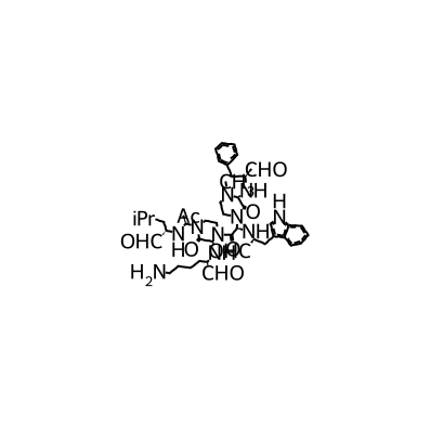 CC(=O)[C@H](N[C@H](C=O)CC(C)C)N1CCN(C(=O)[C@H](N[C@H](C=O)Cc2c[nH]c3ccccc23)N2CCN(C)[C@@H](N[C@H](C=O)Cc3ccccc3)C2=O)[C@@H](N[C@H](C=O)CCCCN)C1=O